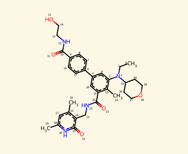 CCN(c1cc(-c2ccc(C(=O)NCCO)cc2)cc(C(=O)NCc2c(C)cc(C)[nH]c2=O)c1C)C1CCOCC1